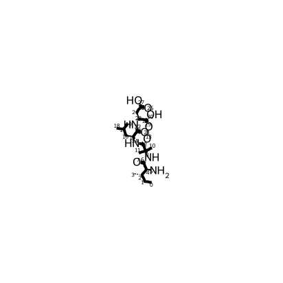 CC[C@H](C)[C@H](N)C(=O)NC(C)(C)C(=O)N[C@@H](CC(C)C)C(=O)N[C@@H](CC(=O)O)C(=O)O